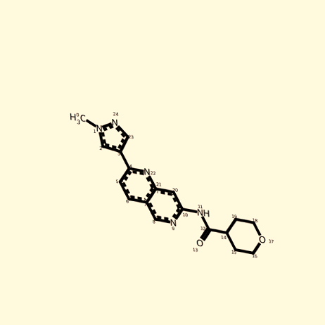 Cn1cc(-c2ccc3cnc(NC(=O)C4CCOCC4)cc3n2)cn1